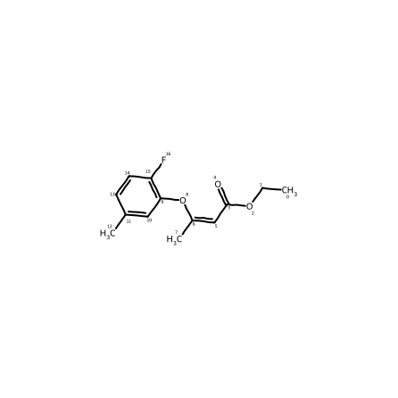 CCOC(=O)/C=C(/C)Oc1cc(C)ccc1F